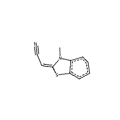 CN1C(=CC#N)Sc2ccccc21